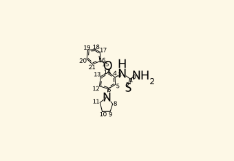 NC(=S)Nc1cc(N2CCCC2)ccc1Oc1ccccc1